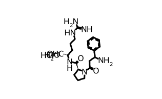 Cl.N=C(N)NCCC[C@@H](C=O)NC(=O)[C@@H]1CCCN1C(=O)CC(N)c1ccccc1.O